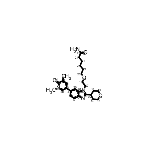 Cc1cc(-c2ccc3nc(C4CCOCC4)n(CCOCCCCCC(N)=O)c3c2)cn(C)c1=O